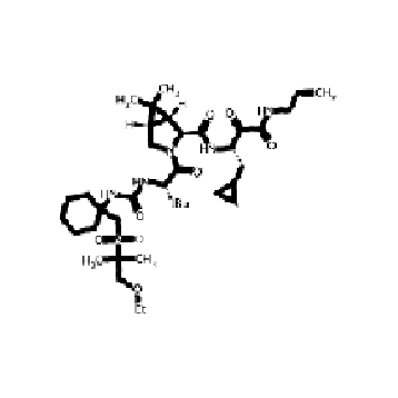 C=CCNC(=O)C(=O)[C@H](CC1CC1)NC(=O)[C@@H]1[C@@H]2[C@H](CN1C(=O)[C@@H](NC(=O)NC1(CS(=O)(=O)C(C)(C)COCC)CCCCC1)C(C)(C)C)C2(C)C